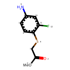 COC(=O)CSc1ccc(N)cc1F